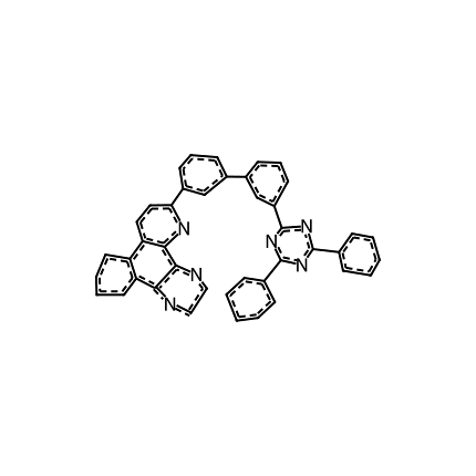 c1ccc(-c2nc(-c3ccccc3)nc(-c3cccc(-c4cccc(-c5ccc6c7ccccc7c7nccnc7c6n5)c4)c3)n2)cc1